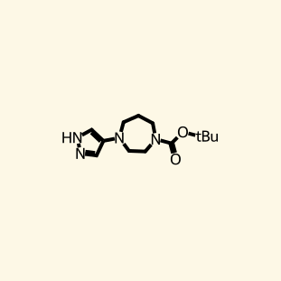 CC(C)(C)OC(=O)N1CCCN(c2cn[nH]c2)CC1